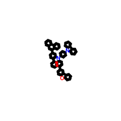 c1ccc(-c2ccc(-c3cc4ccccc4c4ccccc34)cc2N(c2ccc(-c3ccc4oc5ccccc5c4c3)cc2)c2ccc(-n3c4ccccc4c4ccccc43)cc2)cc1